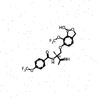 CC(=N)[C@@](C)(COc1ccc2c(c1OC(F)(F)F)B(O)OC2)NC(=O)c1ccc(OC(F)(F)F)cc1